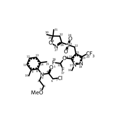 COCCN(C(=O)CCl)c1c(C)cccc1C.Cn1nc(C(F)(F)F)c(CS(=O)(=O)C2=NOC(C)(C)C2)c1OC(F)F